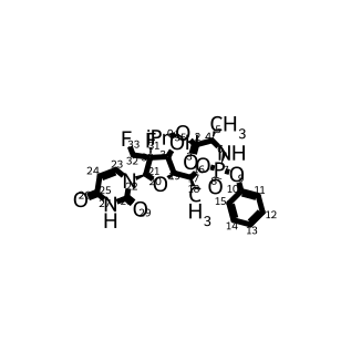 CC(C)OC(=O)[C@H](C)N[P@](=O)(Oc1ccccc1)O[C@@H](C)[C@H]1O[C@@H](n2ccc(=O)[nH]c2=O)[C@@](F)(CF)C1O